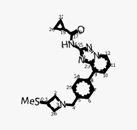 CSC1CN(Cc2ccc(-c3cccn4nc(NC(=O)C5CC5)nc34)cc2)C1